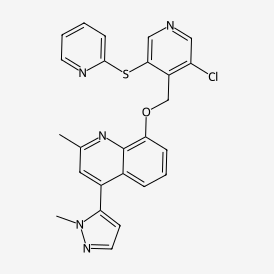 Cc1cc(-c2ccnn2C)c2cccc(OCc3c(Cl)cncc3Sc3ccccn3)c2n1